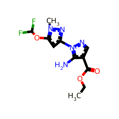 CCOC(=O)c1cnn(-c2cc(OC(F)F)n(C)n2)c1N